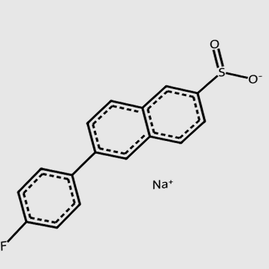 O=S([O-])c1ccc2cc(-c3ccc(F)cc3)ccc2c1.[Na+]